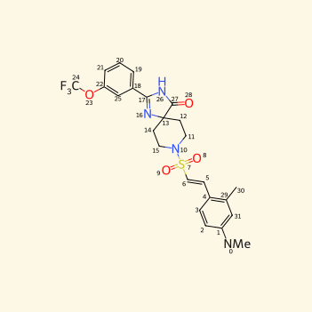 CNc1ccc(/C=C/S(=O)(=O)N2CCC3(CC2)N=C(c2cccc(OC(F)(F)F)c2)NC3=O)c(C)c1